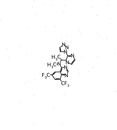 CC(c1nccnc1-n1ccnn1)N(C)c1ncnc2c(C(F)(F)F)cc(C(F)(F)F)cc12